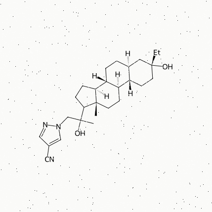 CC[C@@]1(O)CC[C@H]2[C@@H](CC[C@@H]3[C@@H]2CC[C@]2(C)C(C(C)(O)Cn4cc(C#N)cn4)CC[C@@H]32)C1